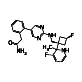 CC1([C@]2(CNc3ncc(-c4ccccc4CC(N)=O)cn3)C[C@@H](F)C2)NC=CC=C1F